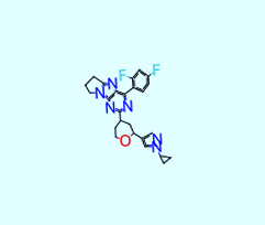 Fc1ccc(-c2nc(C3CCOC(c4cnn(C5CC5)c4)C3)nc3c2nc2n3CCC2)c(F)c1